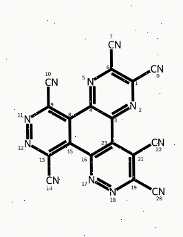 N#Cc1nc2c(nc1C#N)c1c(C#N)nnc(C#N)c1c1nnc(C#N)c(C#N)c21